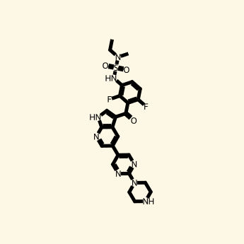 CCN(C)S(=O)(=O)Nc1ccc(F)c(C(=O)c2c[nH]c3ncc(-c4cnc(N5CCNCC5)nc4)cc23)c1F